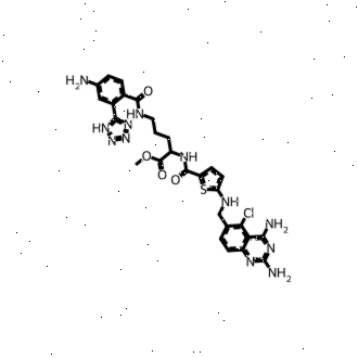 COC(=O)C(CCCNC(=O)c1ccc(N)cc1-c1nnn[nH]1)NC(=O)c1ccc(NCc2ccc3nc(N)nc(N)c3c2Cl)s1